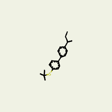 CCC(C)c1ccc(-c2ccc(SC(C)(C)C)cc2)cc1